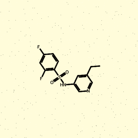 CCc1cncc(NS(=O)(=O)c2ccc(F)cc2F)c1